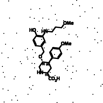 COCCCNc1cc(CO[C@H]2CN[C@H](C(=O)O)C[C@@H]2c2ccc(OC)cc2)ccc1O